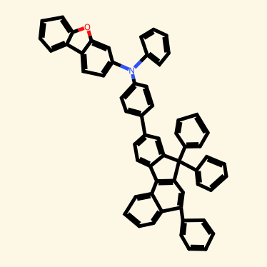 c1ccc(-c2cc3c(c4ccccc24)-c2ccc(-c4ccc(N(c5ccccc5)c5ccc6c(c5)oc5ccccc56)cc4)cc2C3(c2ccccc2)c2ccccc2)cc1